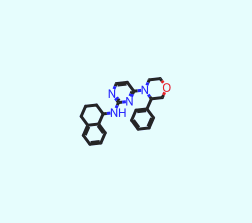 c1ccc(C2COCCN2c2ccnc(NC3CCCc4ccccc43)n2)cc1